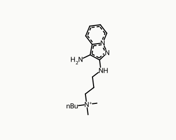 CCCC[N+](C)(C)CCCNc1nn2ccccc2c1N